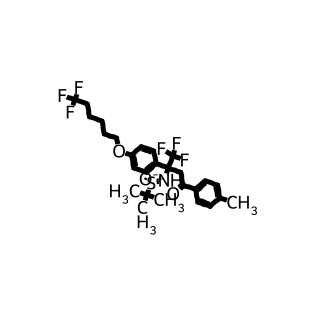 Cc1ccc(C(=O)CC(N[S@@+]([O-])C(C)(C)C)(c2ccc(OCCCCCC(F)(F)F)cc2)C(F)(F)F)cc1